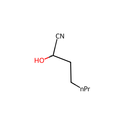 CCCCC[C](O)C#N